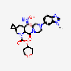 CCn1cnc2ccc(N3CCN(C(=O)C4C(C(=O)NO)CC5(CC5)CN4C(=O)OC4CCOCC4)CC3)cc21